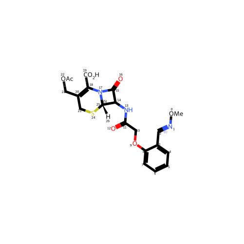 CO/N=C/c1ccccc1OCC(=O)NC1C(=O)N2C(C(=O)O)=C(COC(C)=O)CS[C@@H]12